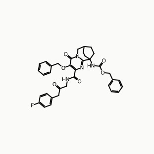 O=C(CNC(=O)c1nc2n(c(=O)c1OCc1ccccc1)CC1CCC2(NC(=O)OCc2ccccc2)CC1)Cc1ccc(F)cc1